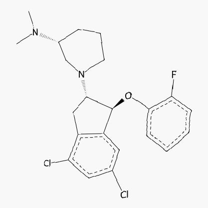 CN(C)[C@@H]1CCCN([C@H]2Cc3c(Cl)cc(Cl)cc3[C@@H]2Oc2ccccc2F)C1